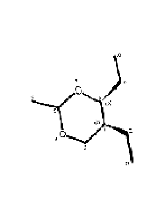 CC[C@H]1COC(C)O[C@H]1CC